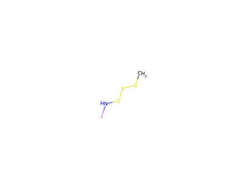 CSSSNI